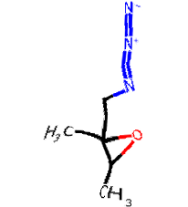 CC1OC1(C)CN=[N+]=[N-]